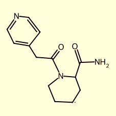 NC(=O)C1C[CH]CCN1C(=O)Cc1ccncc1